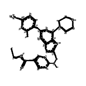 CCOC(=O)c1cnc(N(C)Cc2cc3nc(-c4cnc(N)nc4C)nc(N4CCOCC4)c3s2)nc1